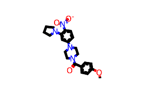 COc1ccc(C(=O)N2CCN(c3ccc([N+](=O)[O-])c(N4CCCC4)c3)CC2)cc1